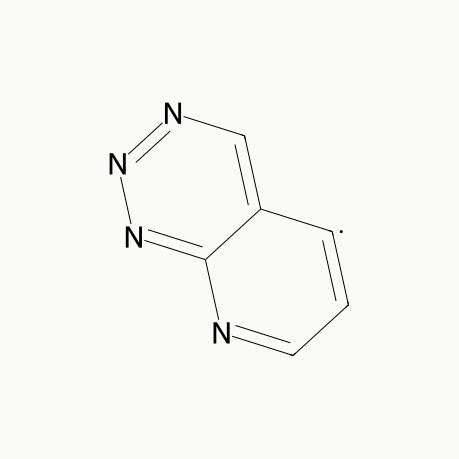 [c]1ccnc2nnncc12